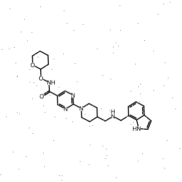 O=C(NOC1CCCCO1)c1cnc(N2CCC(CNCc3cccc4cc[nH]c34)CC2)nc1